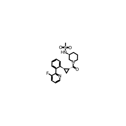 CS(=O)(=O)N[C@H]1CCCN(C(=O)[C@@H]2C[C@H]2c2ccccc2-c2ncccc2F)C1